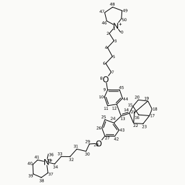 C[N+]1(CCCCCCOc2ccc(C(=C3C4CC5CC(C4)CC3C5)c3ccc(OCCCCCC[N+]4(C)CCCCC4)cc3)cc2)CCCCC1